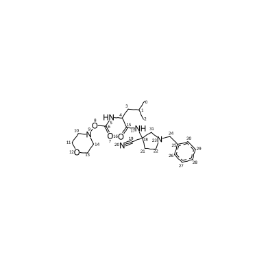 CC(C)CC(NC(=O)ON1CCOCC1)C(=O)NC1(C#N)CCN(Cc2ccccc2)C1